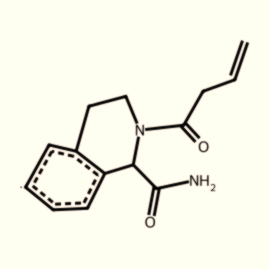 C=CCC(=O)N1CCc2c[c]ccc2C1C(N)=O